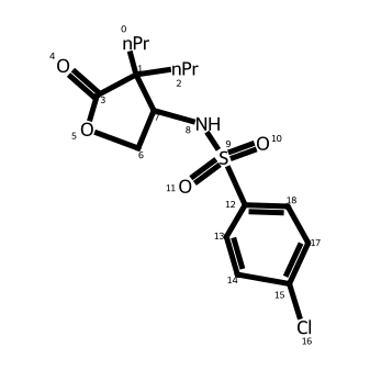 CCCC1(CCC)C(=O)OCC1NS(=O)(=O)c1ccc(Cl)cc1